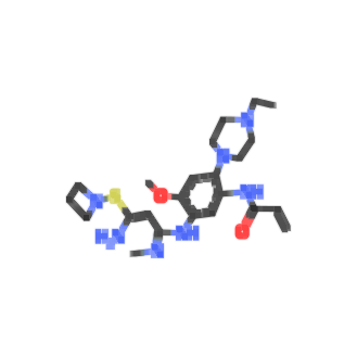 C=CC(=O)Nc1cc(NC(/C=C(\N)SN2CCC2)=N/C)c(OC)cc1N1CCN(CC)CC1